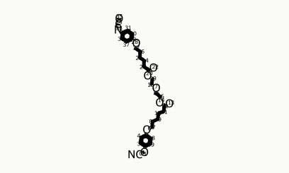 N#COc1ccc(OCCCCCC(=O)OCCOCCOC(=O)CCCCCOc2ccc(N=C=O)cc2)cc1